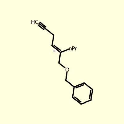 C#CC/C=C(\CCC)COCc1ccccc1